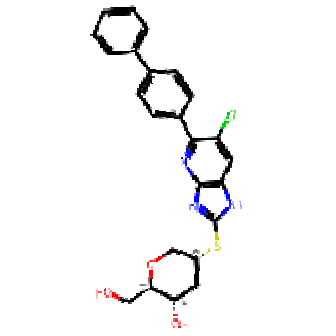 OC[C@H]1OC[C@H](Sc2nc3nc(-c4ccc(-c5ccccc5)cc4)c(Cl)cc3[nH]2)C[C@@H]1O